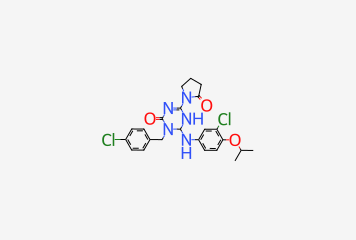 CC(C)Oc1ccc(NC2NC(N3CCCC3=O)=NC(=O)N2Cc2ccc(Cl)cc2)cc1Cl